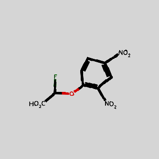 O=C(O)C(F)Oc1ccc([N+](=O)[O-])cc1[N+](=O)[O-]